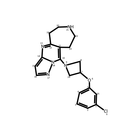 Clc1cccc(OC2CN(c3c4c(nc5ccnn35)CCNCC4)C2)c1